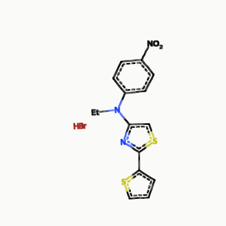 Br.CCN(c1ccc([N+](=O)[O-])cc1)c1csc(-c2cccs2)n1